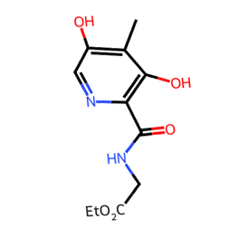 CCOC(=O)CNC(=O)c1ncc(O)c(C)c1O